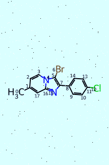 Cc1ccn2c(Br)c(-c3ccc(Cl)cc3)nc2c1